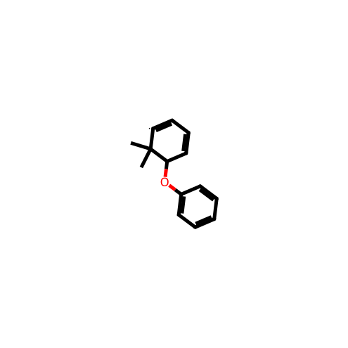 CC1(C)[C]=CC=CC1Oc1ccccc1